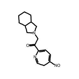 O=NC1=CC=C(C(=O)CN2CC3CCCCC3C2)N=CC1